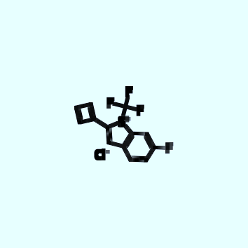 Fc1ccc2cc(C3=CC=C3)[s+](C(F)(F)F)c2c1.[Cl-]